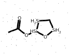 CC(=O)O[SiH]1O[SiH2]C[SiH2]1